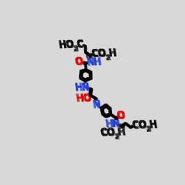 O=C(O)CC[C@H](NC(=O)c1ccc(N=CC(O)=CNc2ccc(C(=O)N[C@@H](CCC(=O)O)C(=O)O)cc2)cc1)C(=O)O